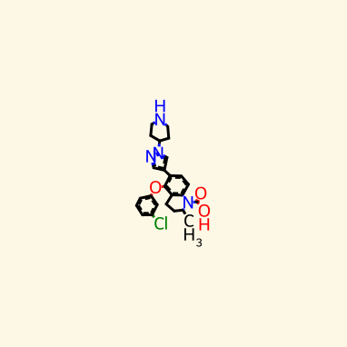 CC1CCc2c(ccc(-c3cnn(C4CCNCC4)c3)c2Oc2cccc(Cl)c2)N1C(=O)O